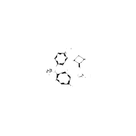 C1CC([SH]2NO2)C1.Clc1ccc(S2(c3ccc(Cl)cc3)NO2)cc1